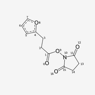 O=C(CCc1ccco1)ON1C(=O)CCC1=O